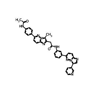 CC(=O)Nc1ccc(-c2ccc3nc(CC(=O)Nc4cccc(-c5ccc6ncc(-c7cccnc7)n6n5)c4)c(C)n3n2)cc1